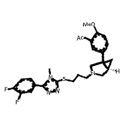 COc1ccc(C23C[C@H]2CN(CCCSc2nnc(-c4ccc(F)c(F)c4)n2C)C3)cc1C(C)=O